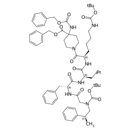 CC(C)C[C@@H](NC(=O)[C@@H](Cc1ccccc1)NC(=O)CN(C[C@@H](C)c1ccccc1)C(=O)OC(C)(C)C)C(=O)N[C@H](CCCCNC(=O)OC(C)(C)C)C(=O)N1CCC(NC(=O)OCc2ccccc2)(C(=O)OCc2ccccc2)CC1